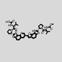 COC(=O)N[C@H](C(=O)N1CCC[C@H]1c1nc2ccc3cc(-c4cnc5c(ccc6nc([C@@H]7CCCN7C(=O)[C@@H](NC(=O)O)C(C)C)[nH]c65)c4)oc3c2[nH]1)C(C)C